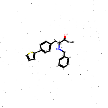 COC(=O)[C@H](Cc1ccc(-c2cccs2)cc1)NCc1ccccc1